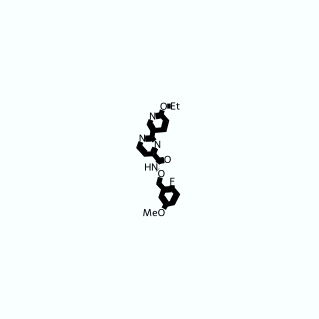 CCOc1ccc(-c2nccc(C(=O)NOCc3cc(OC)ccc3F)n2)cn1